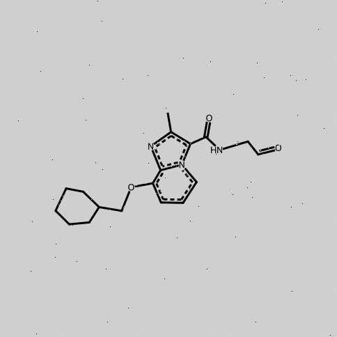 Cc1nc2c(OCC3CCCCC3)cccn2c1C(=O)NCC=O